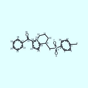 Cc1ccc(S(=O)(=O)CC2CCCn3c(C(=O)c4ccccc4)ccc32)cc1